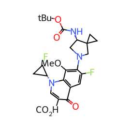 COc1c(N2C[C@@H](NC(=O)OC(C)(C)C)C3(CC3)C2)c(F)cc2c(=O)c(C(=O)O)cn([C@@H]3C[C@@H]3F)c12